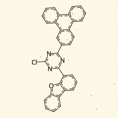 Clc1nc(-c2ccc3c4ccccc4c4ccccc4c3c2)nc(-c2cccc3c2oc2ccccc23)n1